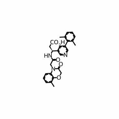 Cc1cccc2c1OCC(=O)N2CC(=O)N[C@@H](CC(=O)O)c1cncc(-c2c(C)cccc2C)c1